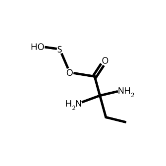 CCC(N)(N)C(=O)OSO